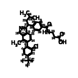 Cc1c(-c2ccc(C(F)(F)F)cc2Cl)ccc2c1cnn2C(CC(C)C)c1ccc(C(=O)NCCC(=O)O)cc1